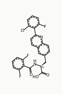 O=C(N[C@@H](Cc1ccc2nc(-c3c(F)cccc3Cl)ccc2c1)C(=O)O)c1c(F)cccc1F